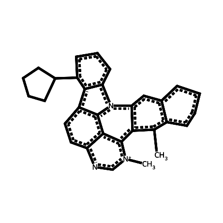 Cc1c2ccccc2cc2c1c1c3c(ccc4c5c(C6CCCC6)cccc5n2c43)nc[n+]1C